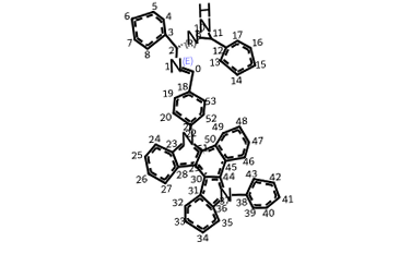 C(=N\C(c1ccccc1)[N@]1NC1c1ccccc1)/c1ccc(-n2c3ccccc3c3c4c5ccccc5n(-c5ccccc5)c4c4ccccc4c32)cc1